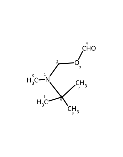 CN([CH]OC=O)C(C)(C)C